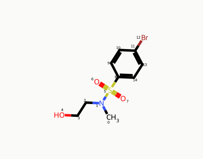 CN(CCO)S(=O)(=O)c1ccc(Br)cc1